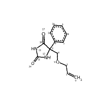 C=CCOCC1(c2ccccc2)NC(=O)NC1=O